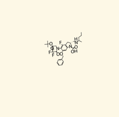 CCCC(C)NC[C@H]1Cc2c(cc(OCc3ccccc3)c(N(CC(=O)OC(C)(C)C)C(=O)C(F)(F)F)c2F)N1C(=O)O